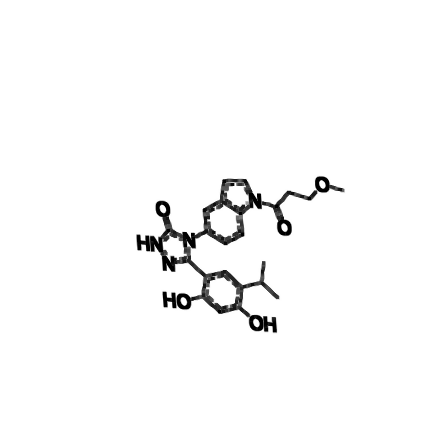 COCCC(=O)n1ccc2cc(-n3c(-c4cc(C(C)C)c(O)cc4O)n[nH]c3=O)ccc21